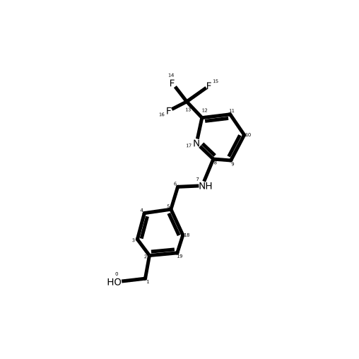 OCc1ccc(CNc2cccc(C(F)(F)F)n2)cc1